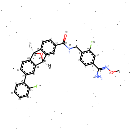 CON=C(N)c1ccc(CNC(=O)c2ccc3c(c2)[C@@H]2O[C@H]3c3ccc(-c4ccccc4F)cc32)c(F)c1